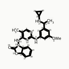 COc1cc(Nc2ncc(C)c(Nn3c(=O)oc4ccccc43)n2)cc(C(C)NC2CC2)c1